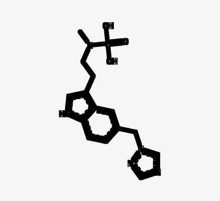 CN(CCc1c[nH]c2ccc(Cn3cncn3)cc12)P(=O)(O)O